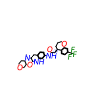 CN(C1CCOCC1)C1Cc2ccc(NC(=O)/C=C3\CCCOc4cc(C(F)(F)F)ccc43)cc2NC1=O